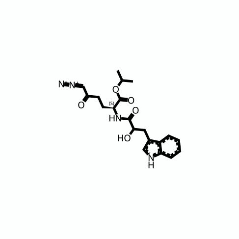 CC(C)OC(=O)[C@H](CCC(=O)C=[N+]=[N-])NC(=O)C(O)Cc1c[nH]c2ccccc12